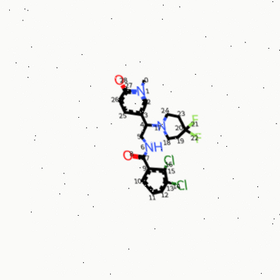 Cn1cc(C(CNC(=O)c2cccc(Cl)c2Cl)N2CCC(F)(F)CC2)ccc1=O